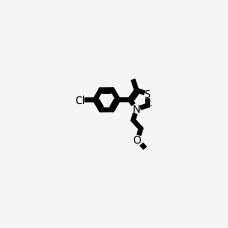 COCCN1[CH]SC(C)=C1c1ccc(Cl)cc1